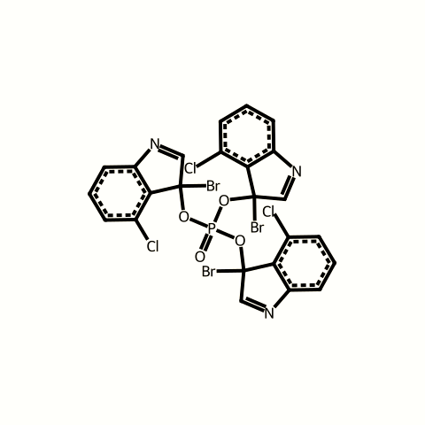 O=P(OC1(Br)C=Nc2cccc(Cl)c21)(OC1(Br)C=Nc2cccc(Cl)c21)OC1(Br)C=Nc2cccc(Cl)c21